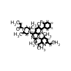 C=CC(=O)N1C[C@H](C)N(c2nc(=O)n(-c3c(C)cc(C=C)nc3C(C)C)c3nc(-c4ccccc4F)c(Cl)cc23)C[C@H]1C